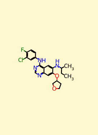 CCC(C)Nc1cc2c(Nc3ccc(F)c(Cl)c3)ncnc2cc1O[C@H]1CCOC1